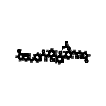 Cc1c(NC(=O)c2ccc(CNC[C@H]3CCC(=O)N3)cn2)cccc1-c1ccnc(-c2ccc(CNC[C@H]3CCC(=O)N3)c(OC(F)F)c2)c1Cl